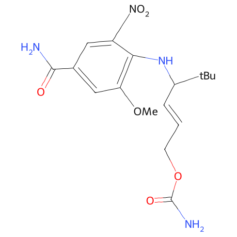 COc1cc(C(N)=O)cc([N+](=O)[O-])c1NC(C=CCOC(N)=O)C(C)(C)C